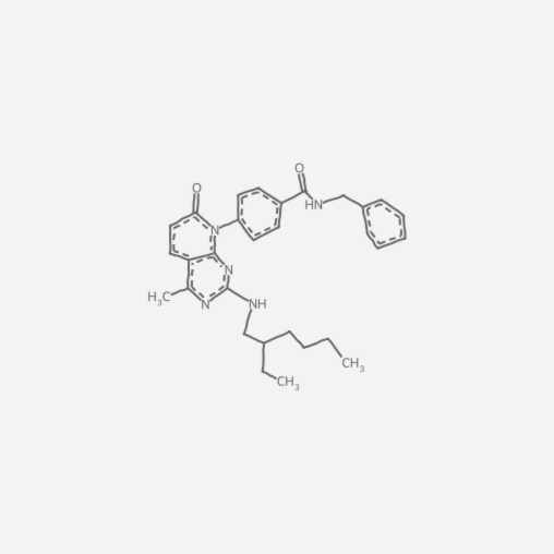 CCCCC(CC)CNc1nc(C)c2ccc(=O)n(-c3ccc(C(=O)NCc4ccccc4)cc3)c2n1